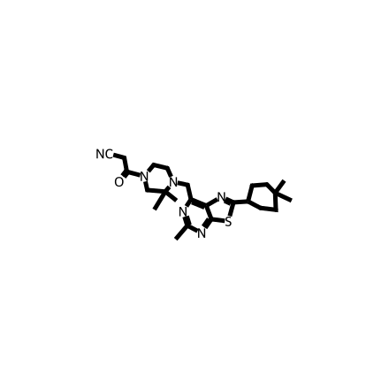 Cc1nc(CN2CCN(C(=O)CC#N)CC2(C)C)c2nc(C3CCC(C)(C)CC3)sc2n1